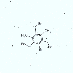 Cc1c(CBr)c(C)c(CBr)c(Br)c1CBr